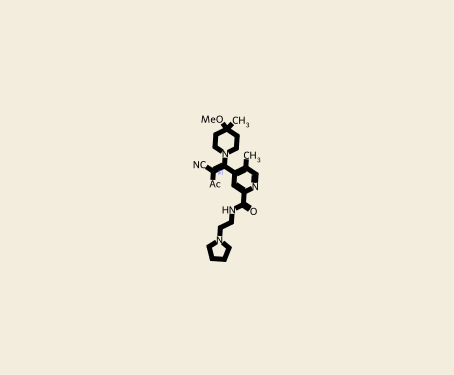 COC1(C)CCN(/C(=C(\C#N)C(C)=O)c2cc(C(=O)NCCN3CCCC3)ncc2C)CC1